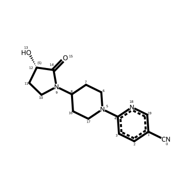 N#Cc1ccc(N2CCC(N3CC[C@H](O)C3=O)CC2)nc1